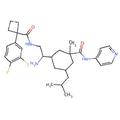 CC(C)CC1CC(C(N)CNC(=O)C2(c3ccc(F)c(F)c3)CCC2)CC(C)(C(=O)Nc2ccncc2)C1